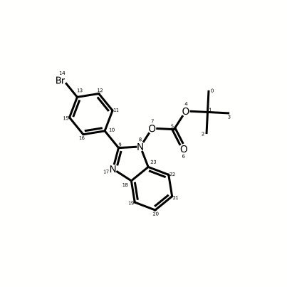 CC(C)(C)OC(=O)On1c(-c2ccc(Br)cc2)nc2ccccc21